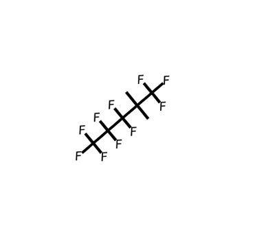 CC(C)(C(F)(F)F)C(F)(F)C(F)(F)C(F)(F)F